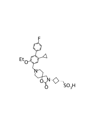 CCOc1cc(-c2ccc(F)cc2)c(C2CC2)cc1CN1CCC2(CC1)CN([C@H]1C[C@@H](CS(=O)(=O)O)C1)C(=O)O2